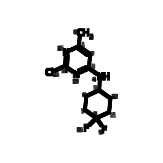 Cc1cc(NC2CCC(F)(F)CC2)nc(Cl)n1